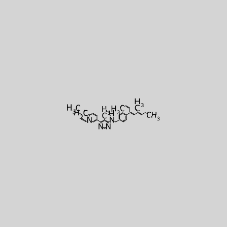 C=C1C=CC(c2ncnc(NCc3ccc(C(/C=C\C)=C/C(C)=C/CC)cc3)c2C)=CN1/C=C\CCC